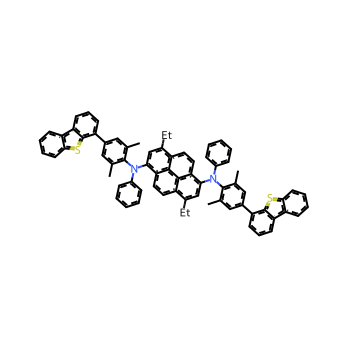 CCc1cc(N(c2ccccc2)c2c(C)cc(-c3cccc4c3sc3ccccc34)cc2C)c2ccc3c(CC)cc(N(c4ccccc4)c4c(C)cc(-c5cccc6c5sc5ccccc56)cc4C)c4ccc1c2c34